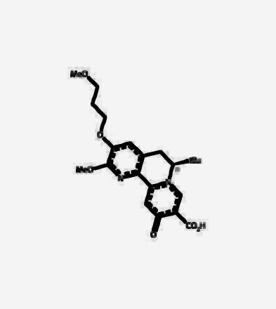 COCCCOc1cc2c(nc1OC)-c1cc(=O)c(C(=O)O)cn1[C@H](C(C)(C)C)C2